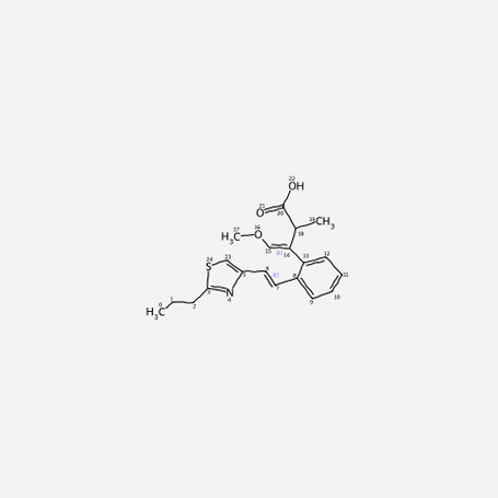 CCCc1nc(/C=C/c2ccccc2/C(=C/OC)C(C)C(=O)O)cs1